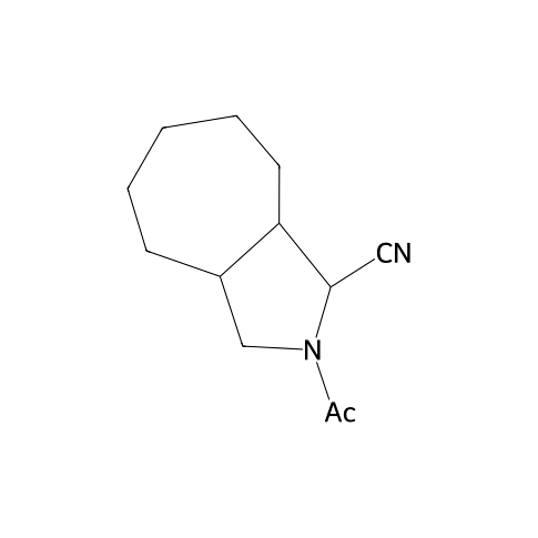 CC(=O)N1CC2CCCCCC2C1C#N